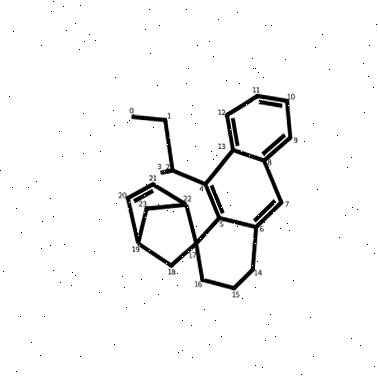 CCC(C)c1c2c(cc3ccccc13)CCCC21CC2C=CC1C2